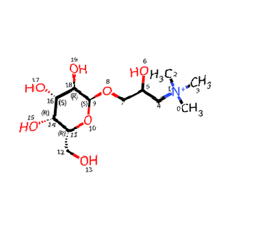 C[N+](C)(C)CC(O)CO[C@H]1O[C@H](CO)[C@H](O)[C@H](O)[C@H]1O